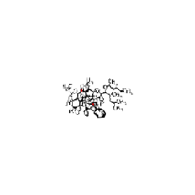 C=C[C@H]1O[C@H]2C[C@H]3OC[C@@]3(OC(C)=O)[C@H]3[C@H](OC(=O)c4ccccc4)[C@]4(C(C)(C)O)C[C@H](OC(=O)[C@H](OC(C)CCCC)[C@@H](C)CC(C)C)C(C)=C4[C@H](C)[C@H](O1)[C@]23C